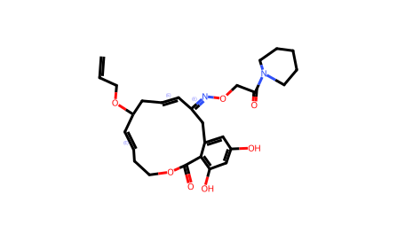 C=CCOC1/C=C/CCOC(=O)c2c(O)cc(O)cc2CC(=N\OCC(=O)N2CCCCC2)/C=C/C1